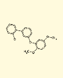 COc1ccc(OC)c(Oc2cccc(-c3ccccc3[O])c2)c1